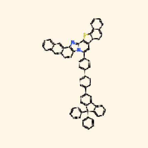 c1ccc(C2(c3ccccc3)c3ccccc3-c3cc(-c4ccc(-c5ccc(-c6cc7c8ccc9ccccc9c8sc7c7nc8c9cc%10ccccc%10cc9ccc8n67)cc5)cc4)ccc32)cc1